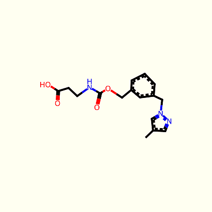 Cc1cnn(Cc2cccc(COC(=O)NCCC(=O)O)c2)c1